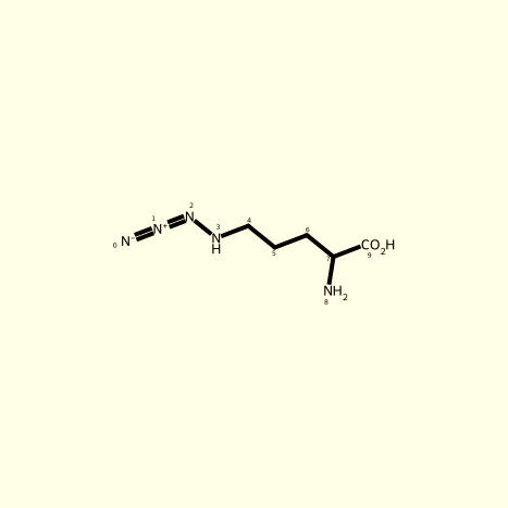 [N-]=[N+]=NNCCCC(N)C(=O)O